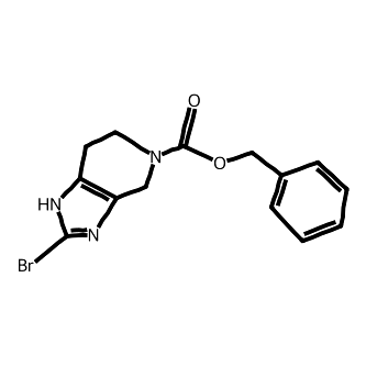 O=C(OCc1ccccc1)N1CCc2[nH]c(Br)nc2C1